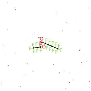 COC(=O)C(F)(OC(F)(F)C(F)(F)C(F)(F)F)C(F)(F)C(F)(F)C(F)(F)C(F)(F)F